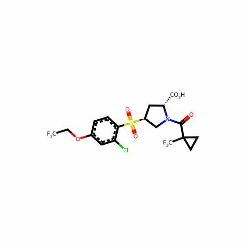 O=C(O)[C@H]1C[C@H](S(=O)(=O)c2ccc(OCC(F)(F)F)cc2Cl)CN1C(=O)C1(C(F)(F)F)CC1